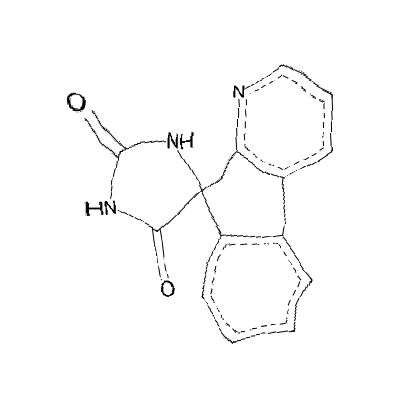 O=C1NC(=O)C2(N1)c1ccccc1-c1cccnc12